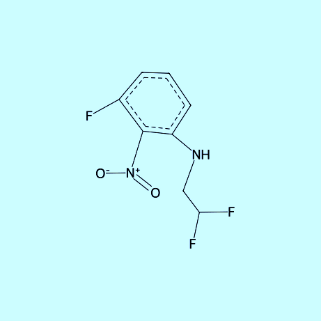 O=[N+]([O-])c1c(F)cccc1NCC(F)F